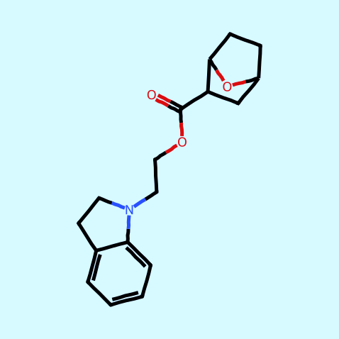 O=C(OCCN1CCc2ccccc21)C1CC2CCC1O2